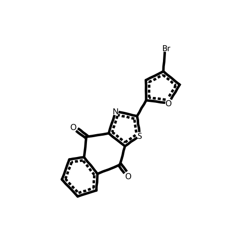 O=C1c2ccccc2C(=O)c2sc(-c3cc(Br)co3)nc21